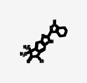 CCN1C(=O)C(C)(C)c2cc3nc(-c4n[nH]c5c4CCCC5)[nH]c3cc21